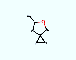 C[C@@H]1CC2(CC2)CO1